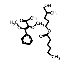 CCCCCC(=O)OCCCC(O)CO.COC(C(=O)O)=C(OC)c1ccccc1